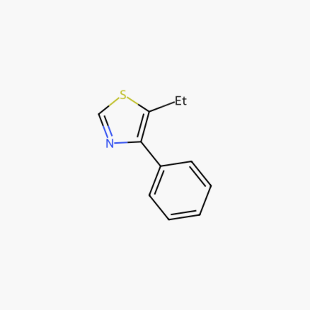 CCc1scnc1-c1ccccc1